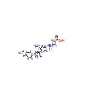 CC(C)Cc1ccc(-c2nc(-c3ccc(CNC4CC(C(=O)O)C4)cc3C#N)no2)cc1